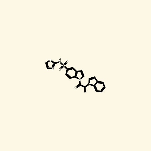 CC(C(=O)n1ccc2cc(S(=O)(=O)Nc3nccs3)ccc21)n1ccc2ccccc21